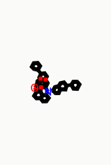 c1ccc(-c2ccc3cc(N(c4ccc5cc(-c6ccccc6)ccc5c4)c4cccc5ccc6oc7ccccc7c6c45)ccc3c2)cc1